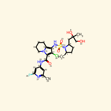 CC1CCC(CC(C)(O)CO)N1S(=O)(=O)Nc1c(Cl)c(C(=O)Nc2cc(F)nc(C#N)c2)n2c1CCCC2